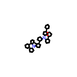 c1ccc(-c2ccc(N(c3cccc(-c4cccc5c4c4cccc(-c6ccccc6)c4n5-c4ccccc4)c3)c3ccccc3-c3ccccc3)cc2)cc1